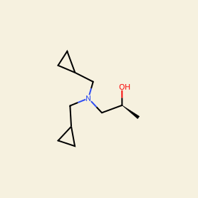 C[C@H](O)CN(CC1CC1)CC1CC1